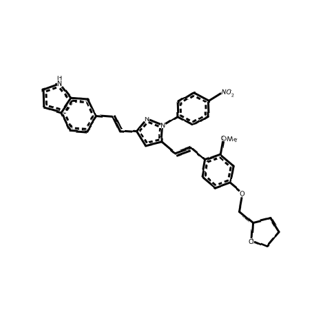 COc1cc(OCC2CCCO2)ccc1/C=C/c1cc(/C=C/c2ccc3cc[nH]c3c2)nn1-c1ccc([N+](=O)[O-])cc1